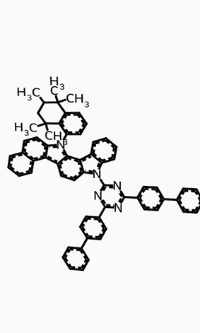 CC1CC(C)(C)c2c(-n3c4ccc5ccccc5c4c4ccc5c(c6ccccc6n5-c5nc(-c6ccc(-c7ccccc7)cc6)nc(-c6ccc(-c7ccccc7)cc6)n5)c43)cccc2C1(C)C